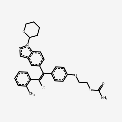 CCC(=C(c1ccc(OCCOC(N)=O)cc1)c1ccc2c(cnn2C2CCCCO2)c1)c1ccccc1C